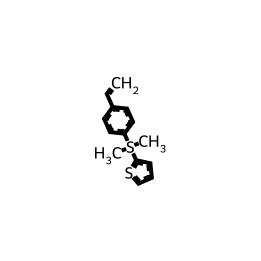 C=Cc1ccc(S(C)(C)c2cccs2)cc1